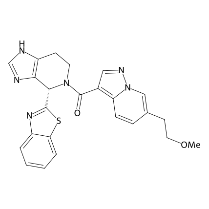 COCCc1ccc2c(C(=O)N3CCc4[nH]cnc4[C@H]3c3nc4ccccc4s3)cnn2c1